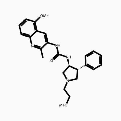 COCCN1C[C@@H](NC(=O)Nc2cc3c(OC)cccc3nc2C)[C@H](c2ccccc2)C1